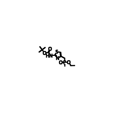 CCOP(C)(=O)Cc1csc(NC(=O)OC(C)(C)C)n1